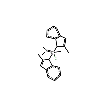 CC1=Cc2ccccc2[CH]1[Zr]([CH3])([Cl])([CH]1C(C)=Cc2ccccc21)=[Si](C)C